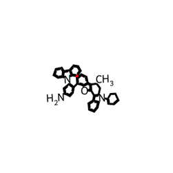 CC1Cc2c(c3ccccc3n2C2=CC=CCC2)-c2oc3c(-c4ccc(N)cc4-n4c5ccccc5c5ccccc54)cccc3c21